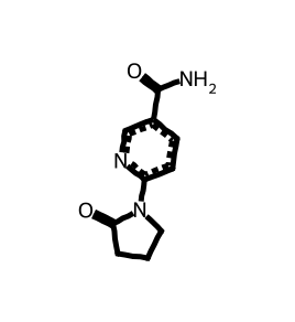 NC(=O)c1ccc(N2CCCC2=O)nc1